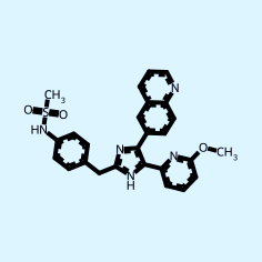 COc1cccc(-c2[nH]c(Cc3ccc(NS(C)(=O)=O)cc3)nc2-c2ccc3ncccc3c2)n1